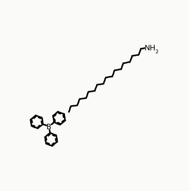 CCCCCCCCCCCCCCCCCCN.c1ccc(B(c2ccccc2)c2ccccc2)cc1